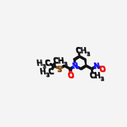 C[C@H]1C[C@@H]([C@H](C)N=O)CN(C(=O)CSC(C)(C)C)C1